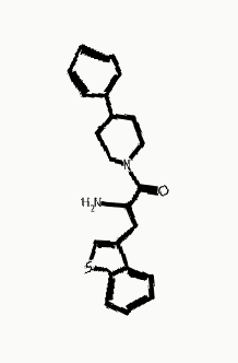 NC(Cc1csc2ccccc12)C(=O)N1CCC(c2ccccc2)CC1